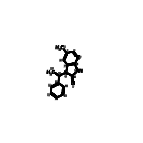 Cc1cnc2[nH]c(=O)n(C(C)c3ccccc3)c2c1